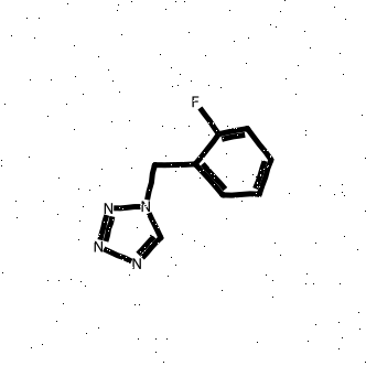 Fc1ccccc1Cn1cnnn1